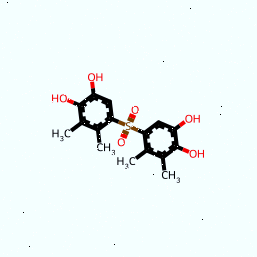 Cc1c(S(=O)(=O)c2cc(O)c(O)c(C)c2C)cc(O)c(O)c1C